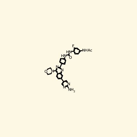 CC(=O)Nc1ccc(NC(=O)Nc2ccc(-c3nc(N4CCOCC4)c4ccc(-c5cnc(N)nc5)cc4n3)cc2)c(F)c1